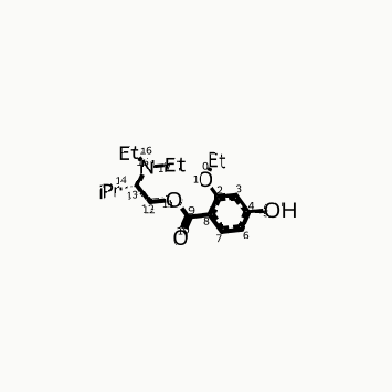 CCOc1cc(O)ccc1C(=O)OC[C@H](C(C)C)N(CC)CC